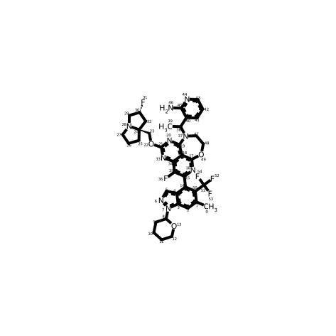 Cc1cc2c(cnn2C2CCCCO2)c(-c2nc3c4c(nc(OC[C@@]56CCCN5C[C@H](F)C6)nc4c2F)N(C(C)c2cccnc2N)CCO3)c1C(F)(F)F